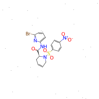 O=C(Nc1cccc(Br)n1)[C@@H]1CC=CCN1S(=O)(=O)c1ccc([N+](=O)[O-])cc1